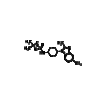 Cc1ccc2c(c1)nc(C)n2C1CCC(NC(=O)OC(C)(C)C)CC1